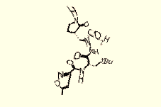 Cc1cc(C(=O)N[C@@H](CC(C)(C)C)C(=O)NN(C[C@@H]2CCNC2=O)C(=O)O)no1